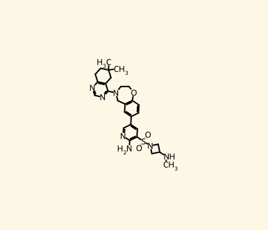 CNC1CN(S(=O)(=O)c2cc(-c3ccc4c(c3)CN(c3ncnc5c3CC(C)(C)CC5)CCO4)cnc2N)C1